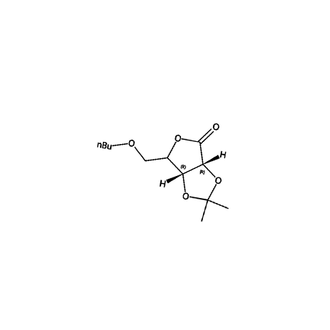 CCCCOCC1OC(=O)[C@@H]2OC(C)(C)O[C@H]12